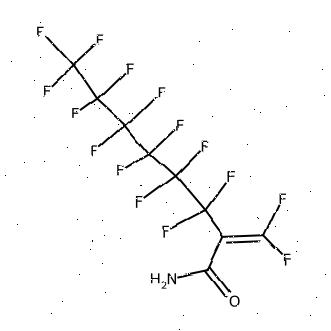 NC(=O)C(=C(F)F)C(F)(F)C(F)(F)C(F)(F)C(F)(F)C(F)(F)C(F)(F)F